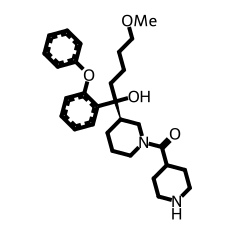 COCCCCC(O)(c1ccccc1Oc1ccccc1)[C@@H]1CCCN(C(=O)C2CCNCC2)C1